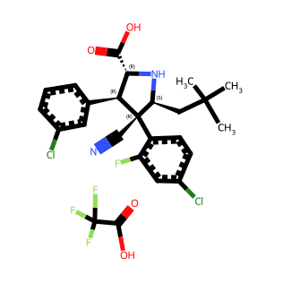 CC(C)(C)C[C@@H]1N[C@@H](C(=O)O)[C@H](c2cccc(Cl)c2)[C@@]1(C#N)c1ccc(Cl)cc1F.O=C(O)C(F)(F)F